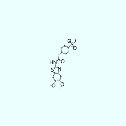 CCS(=O)(=O)c1ccc(CC(=O)Nc2nc3cc(OC)c(OC)cc3s2)cc1